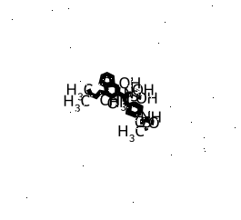 CCS(=O)(=O)Nc1ccc2c(c1)S(O)(O)N=C(C1=C(O)c3ccccc3C(C)(CCC(C)C)C1=O)N2